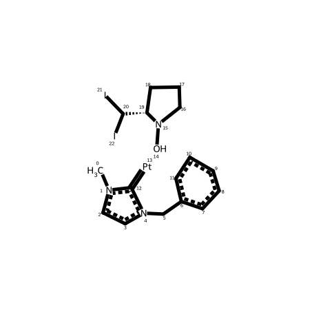 Cn1ccn(Cc2ccccc2)[c]1=[Pt].ON1CCC[C@H]1C(I)I